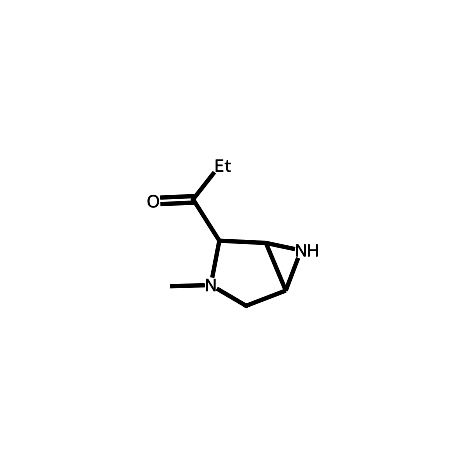 CCC(=O)C1C2NC2CN1C